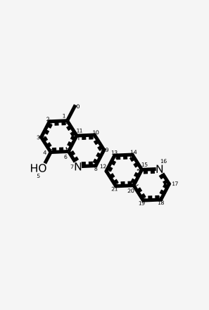 Cc1ccc(O)c2ncccc12.c1ccc2ncccc2c1